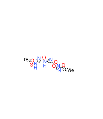 COC(=O)c1nc(OC(=O)c2cc(NC(=O)c3cc(NC(=O)OC(C)(C)C)cn3C)cn2C)cn1C